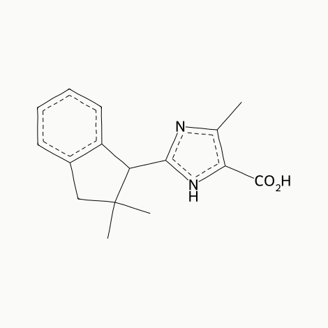 Cc1nc(C2c3ccccc3CC2(C)C)[nH]c1C(=O)O